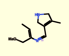 CC=C(COC)/N=C\C1=C(C)CNC1